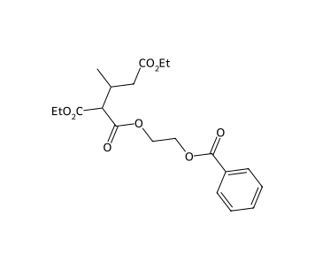 CCOC(=O)CC(C)C(C(=O)OCC)C(=O)OCCOC(=O)c1ccccc1